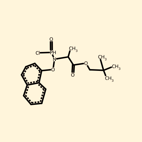 CC(C(=O)OCC(C)(C)C)N(Oc1cccc2ccccc12)[PH](=O)Cl